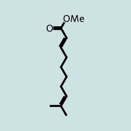 COC(=O)/C=C/CCCCC=C(C)C